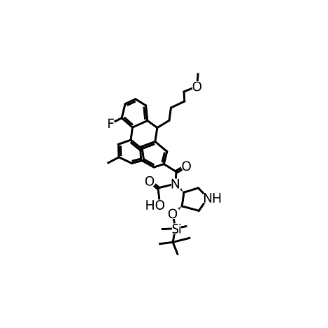 COCCCCC(c1cccc(C(=O)N(C(=O)O)[C@@H]2CNC[C@@H]2O[Si](C)(C)C(C)(C)C)c1)c1cccc(F)c1-c1cccc(C)c1